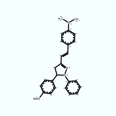 COc1ccc(C2CC(C=Cc3ccc(N(C)C)cc3)=NN2c2ccccc2)cc1